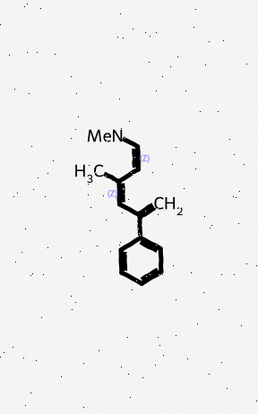 C=C(/C=C(C)\C=C/NC)c1ccccc1